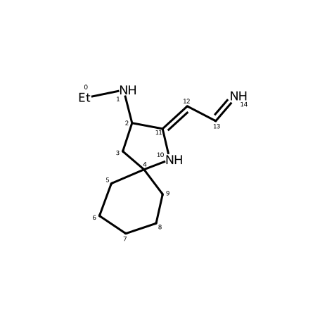 CCNC1CC2(CCCCC2)N/C1=C\C=N